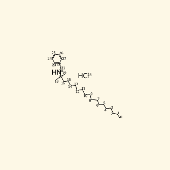 CCCCCCCCCCCCCCCCCC(C)(C)NCc1ccccc1.Cl